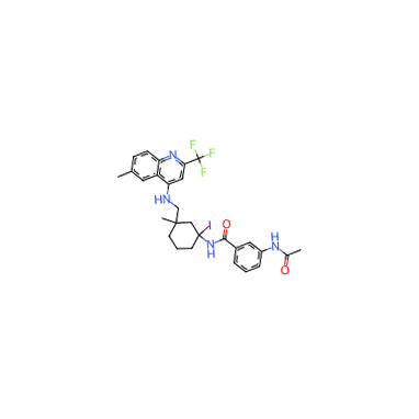 CC(=O)Nc1cccc(C(=O)NC2(I)CCCC(C)(CNc3cc(C(F)(F)F)nc4ccc(C)cc34)C2)c1